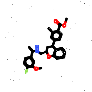 COC(=O)c1ccc(C2C[C@H](CNC(C)c3ccc(F)c(OC)c3)Oc3ccccc32)cc1C